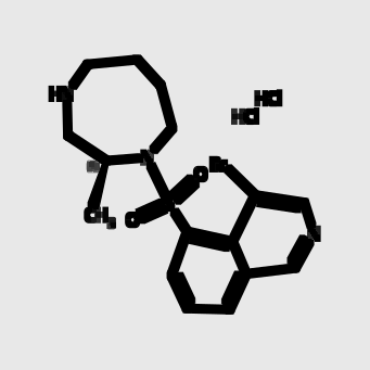 C[C@H]1CNCCCCN1S(=O)(=O)c1cccc2cncc(Br)c12.Cl.Cl